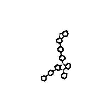 c1ccc(-c2ccc(-c3ccc4c(c3)N(c3ccccc3)c3ccccc3N4c3ccc(-c4ccc(-c5ccc6sc7ccccc7c6c5)cc4)cc3)cc2)cc1